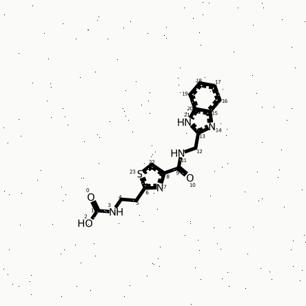 O=C(O)NCCc1nc(C(=O)NCc2nc3ccccc3[nH]2)cs1